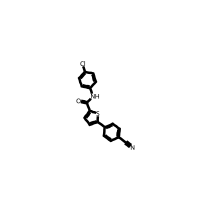 N#Cc1ccc(-c2ccc(C(=O)Nc3ccc(Cl)cc3)s2)cc1